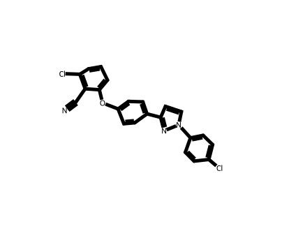 N#Cc1c(Cl)cccc1Oc1ccc(-c2ccn(-c3ccc(Cl)cc3)n2)cc1